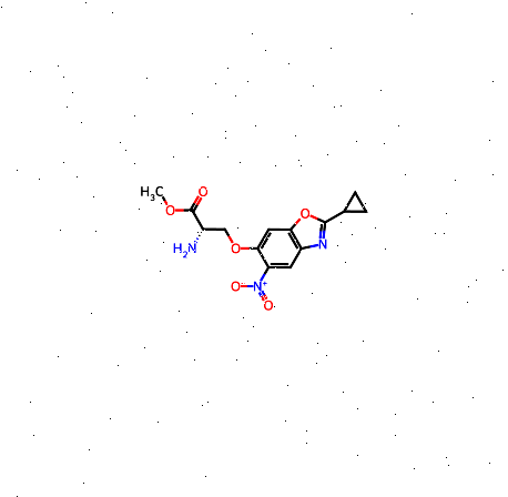 COC(=O)[C@@H](N)COc1cc2oc(C3CC3)nc2cc1[N+](=O)[O-]